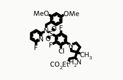 CCOC(=O)CC(N)C1(C)CCN(c2cc(F)c(S(=O)(=O)N(Cc3ccc(OC)cc3OC)c3cccc(F)n3)c(F)c2Cl)C1